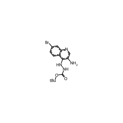 CC(C)(C)OC(=O)NNc1c(N)cnc2cc(Br)ccc12